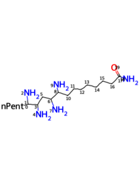 CCCCCC(N)C(N)CC(N)C(N)CCCCCCCC(N)=O